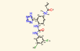 C=CC(=O)[N+](C)(C)c1ccc(NC(=O)Nc2cc(F)cc(F)c2)c(-c2nnn[nH]2)c1